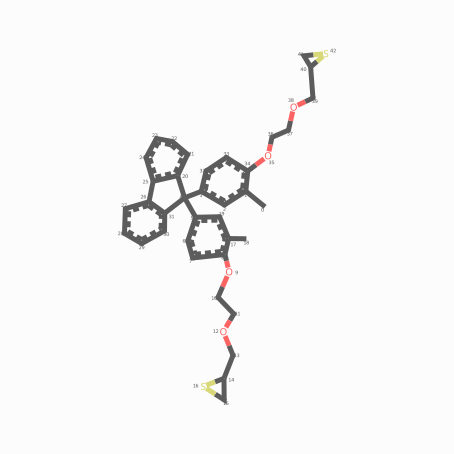 Cc1cc(C2(c3ccc(OCCOCC4CS4)c(C)c3)c3ccccc3-c3ccccc32)ccc1OCCOCC1CS1